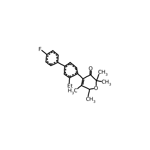 CCc1cc(-c2ccc(F)cc2)ccc1C1=C(C)C(C)OC(C)(C)C1=O